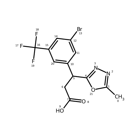 Cc1nnc(C(CC(=O)O)c2cc(Br)cc(C(F)(F)F)c2)o1